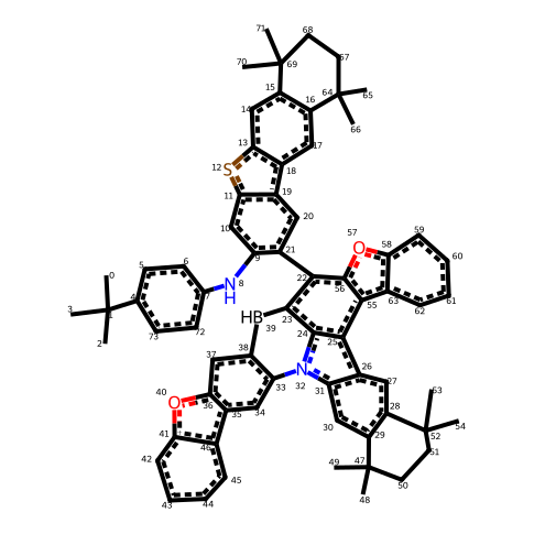 CC(C)(C)c1ccc(Nc2cc3sc4cc5c(cc4c3cc2-c2c3c4c(c6cc7c(cc6n4-c4cc6c(cc4B3)oc3ccccc36)C(C)(C)CCC7(C)C)c3c2oc2ccccc23)C(C)(C)CCC5(C)C)cc1